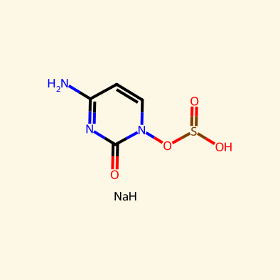 Nc1ccn(OS(=O)O)c(=O)n1.[NaH]